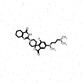 CN(C)CCCN(C)c1cc(F)c2c(c1)C(=O)OC21CCN(c2nc3c(c(=O)[nH]2)CCCC3)CC1